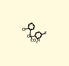 O=C(O)C1(c2ccc(F)cc2)OC1c1ccccc1Cl